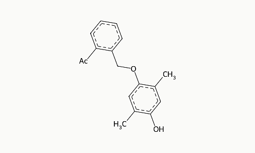 CC(=O)c1ccccc1COc1cc(C)c(O)cc1C